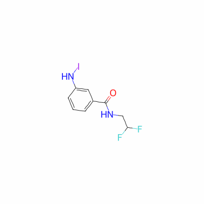 O=C(NCC(F)F)c1cccc(NI)c1